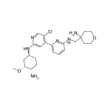 CO[C@@H]1C[C@@H](Nc2cc(-c3cccc(NCC4(N)CCOCC4)n3)c(Cl)cn2)CC[C@@H]1N